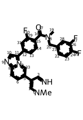 CN/C=C(\C=N)c1ccc2ncc(-c3ccc(C(=O)N(C)Cc4ccc(F)c(F)c4)c(F)c3)n2c1